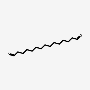 S=CCCCCCC[CH]CCCCCCC=S